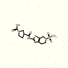 CS(=O)(=O)N1CCc2nc(NC(=O)C3CCN(C(=O)O)C3)sc2C1